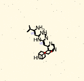 C=N/C(=C\c1ncccc1C1CC2NC(C1)C2CCC#N)NC(=N)/C=C(\N)C(C)C